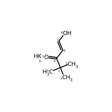 CC(C)(C)C(=O)C=CO.[KH]